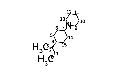 CCC(C)[C@H]1CC[C@H](N2CCCCC2)CC1